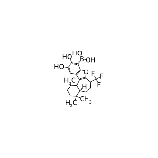 CC1(C)CCC[C@@]2(C)c3c(oc4c(B(O)O)c(O)c(O)cc34)C(C(F)(F)F)CC[C@H]12